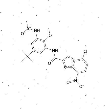 COc1c(NC(=O)c2cc3c(Cl)ccc([N+](=O)[O-])c3s2)cc(C(C)(C)C)cc1N[S+](C)[O-]